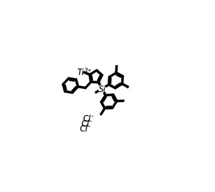 Cc1cc(C)cc([Si](C)(C2=CC[C]([Ti+3])=C2Cc2ccccc2)c2cc(C)cc(C)c2)c1.[Cl-].[Cl-].[Cl-]